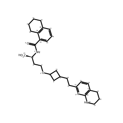 O=C(N[C@@H](CCOC1CC(CCc2ccc3c(n2)NCCC3)C1)C(=O)O)c1cccc2c1CCCC2